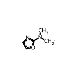 [CH2]N(C)c1ncco1